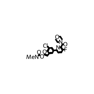 CNC(=O)Oc1cc2cc(-c3ccc(F)c(C(=O)N4CCOCC4)n3)cc(Cl)c2o1